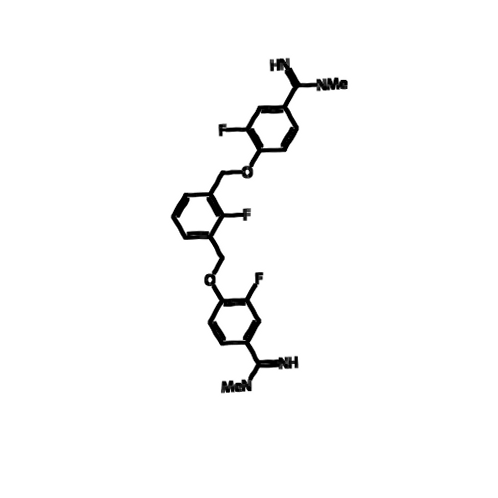 CNC(=N)c1ccc(OCc2cccc(COc3ccc(C(=N)NC)cc3F)c2F)c(F)c1